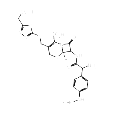 NC(C(=O)NC1C(=O)N2C(C(=O)O)=C(CSc3nnc(CC(=O)O)o3)CS[C@@H]12)c1ccc(NC=O)cc1